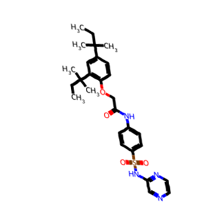 CCC(C)(C)c1ccc(OCC(=O)Nc2ccc(S(=O)(=O)Nc3cnccn3)cc2)c(C(C)(C)CC)c1